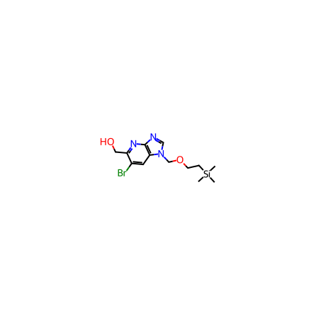 C[Si](C)(C)CCOCn1cnc2nc(CO)c(Br)cc21